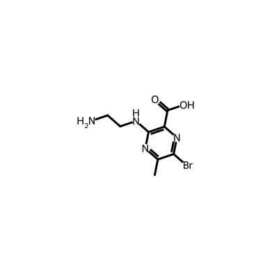 Cc1nc(NCCN)c(C(=O)O)nc1Br